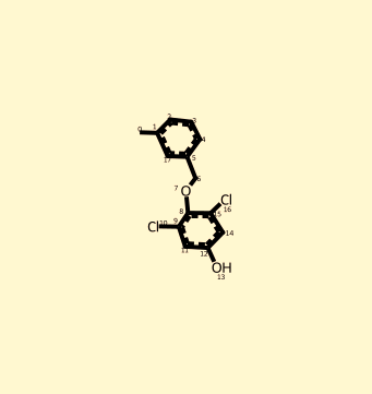 Cc1cccc(COc2c(Cl)cc(O)cc2Cl)c1